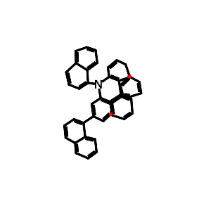 C1=CC(N(c2cc(-c3cccc4ccccc34)ccc2-c2ccccc2)c2cccc3ccccc23)=C(c2ccccc2)CC1